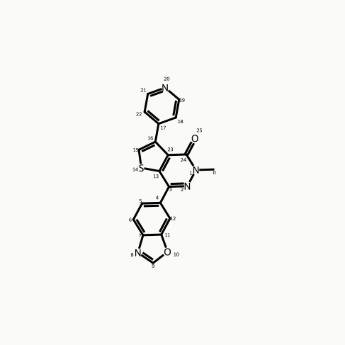 Cn1nc(-c2ccc3ncoc3c2)c2scc(-c3ccncc3)c2c1=O